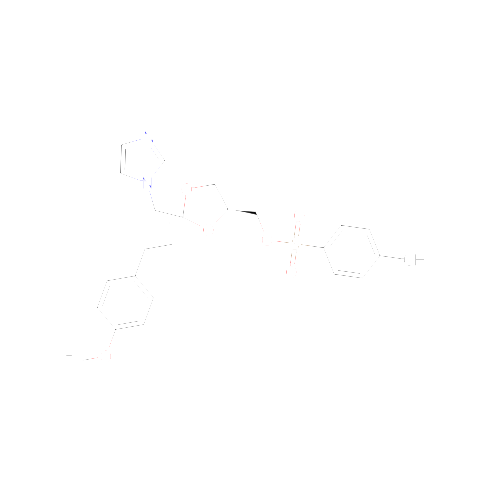 CCOc1ccc(CC[C@]2(Cn3ccnc3)OC[C@@H](COS(=O)(=O)c3ccc(C)cc3)O2)cc1